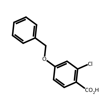 O=C(O)c1ccc(OCc2ccccc2)cc1Cl